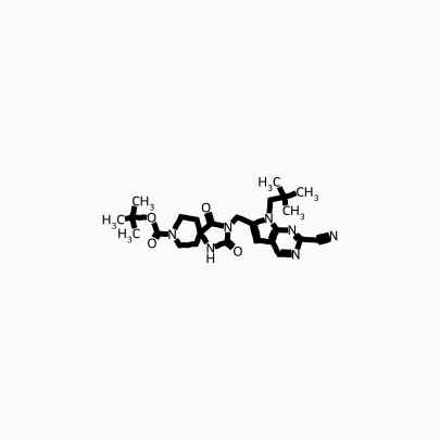 CC(C)(C)Cn1c(CN2C(=O)NC3(CCN(C(=O)OC(C)(C)C)CC3)C2=O)cc2cnc(C#N)nc21